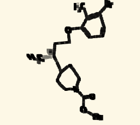 Cc1c(Br)cccc1OCC[C@@H](C)C1CCN(C(=O)OC(C)(C)C)CC1